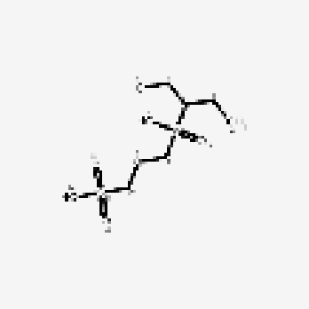 CCC(CC)P(=O)(O)COCS(=O)(=O)O